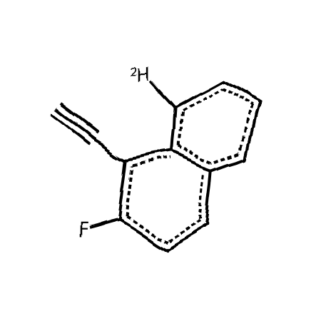 [2H]c1cccc2ccc(F)c(C#C)c12